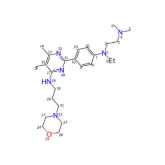 CCN(CCN(C)C)c1ccc(-c2nc(C)c(C)c(NCCCN3CCOCC3)n2)cc1